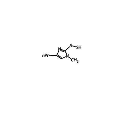 CCCc1cn(C)c(SS)n1